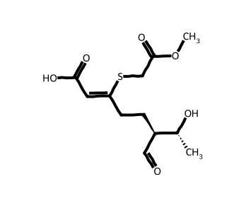 COC(=O)CS/C(=C\C(=O)O)CC[C@H](C=O)[C@@H](C)O